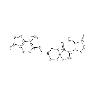 CC1=C(N2NCC3(CCN(CCc4ccc5c(c4C)COC5=O)CC3)C2=O)COC1=O